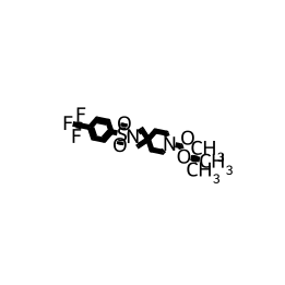 CC(C)(C)OC(=O)N1CCC2(CC1)CN(S(=O)(=O)c1ccc(C(F)(F)F)cc1)C2